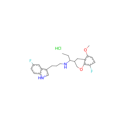 CCC(NCCCc1c[nH]c2ccc(F)cc12)C1COc2c(F)ccc(OC)c2C1.Cl